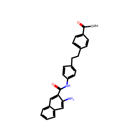 COC(=O)c1ccc(CCc2ccc(NC(=O)c3cc4ccccc4cc3N)cc2)cc1